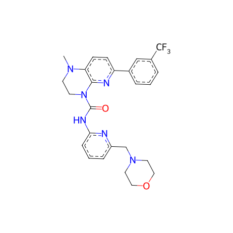 CN1CCN(C(=O)Nc2cccc(CN3CCOCC3)n2)c2nc(-c3cccc(C(F)(F)F)c3)ccc21